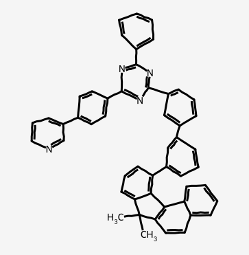 CC1(C)c2cccc(-c3cccc(-c4cccc(-c5nc(-c6ccccc6)nc(-c6ccc(-c7cccnc7)cc6)n5)c4)c3)c2-c2c1ccc1ccccc21